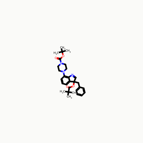 CC(C)(C)OC(=O)N1CCN(c2cccc3c2N=CC3(Cc2ccccc2)OC(=O)C(C)(C)C)CC1